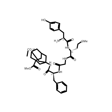 CC(=O)O.COC(=O)C12CC3CC(CC(NC(=O)[C@H](Cc4ccccc4)NC(=O)CNC(=O)[C@@H](CCSC)NC(=O)[C@@H](N)Cc4ccc(O)cc4)(C3)C1)C2